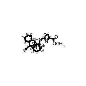 COC(=O)c1csc(NC(=O)C2(C)CC3(C#N)c4ccccc4C2c2ccccc23)n1